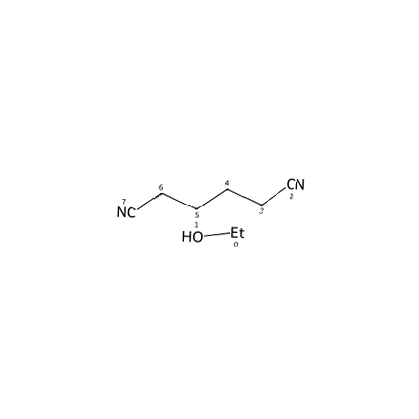 CCO.N#CCCCCC#N